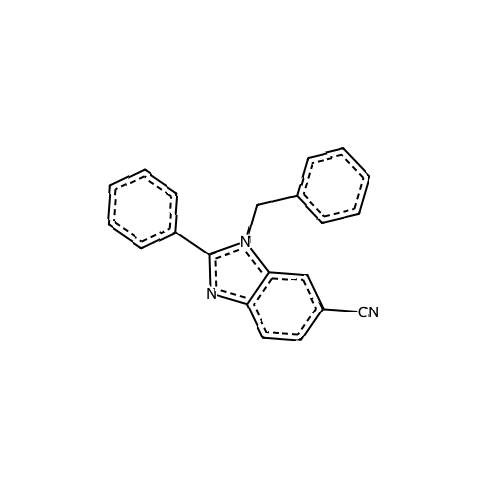 N#Cc1ccc2nc(-c3ccccc3)n(Cc3ccccc3)c2c1